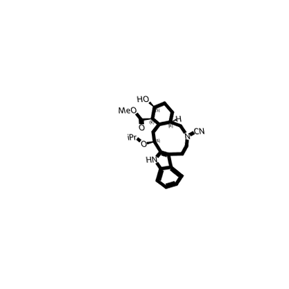 COC(=O)[C@@H]1C2C[C@H](OC(C)C)c3[nH]c4ccccc4c3CCN(C#N)C[C@@H]2CC[C@@H]1O